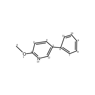 COc1[c]cc(-c2ccccc2)cn1